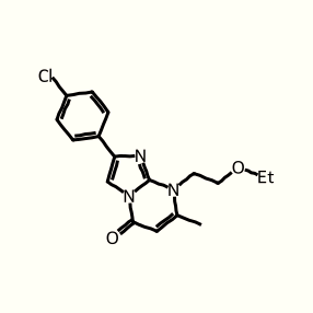 CCOCCn1c(C)cc(=O)n2cc(-c3ccc(Cl)cc3)nc12